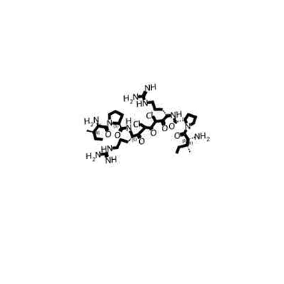 CC[C@@H](C)[C@@H](N)C(=O)N1CCC[C@H]1C(=O)N[C@@H](CCCNC(=N)N)C(=O)C(Cl)C(=O)C(Cl)C(=O)[C@H](CCCNC(=N)N)NC(=O)[C@@H]1CCCN1C(=O)[C@H](N)[C@H](C)CC